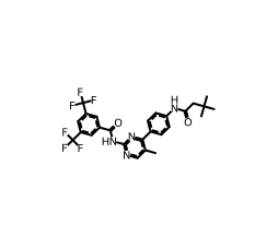 Cc1cnc(NC(=O)c2cc(C(F)(F)F)cc(C(F)(F)F)c2)nc1-c1ccc(NC(=O)CC(C)(C)C)cc1